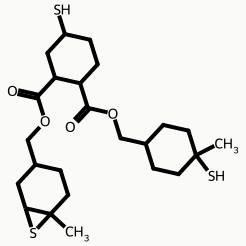 CC1(S)CCC(COC(=O)C2CCC(S)CC2C(=O)OCC2CCC3(C)SC3C2)CC1